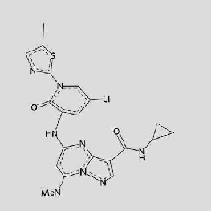 CNc1cc(Nc2cc(Cl)cn(-c3ncc(C)s3)c2=O)nc2c(C(=O)NC3CC3)cnn12